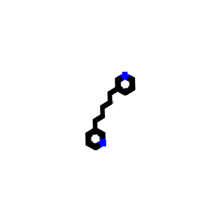 [CH](CCCc1cccnc1)Cc1cccnc1